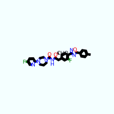 Cc1ccc(-c2nc(-c3ccc(CC(NC(=O)N4CCCN(c5ccc(F)cn5)CC4)OC=O)cc3F)no2)cc1